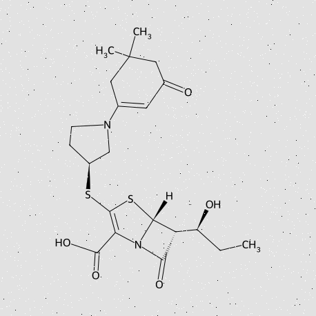 CC[C@H](O)[C@@H]1C(=O)N2C(C(=O)O)=C(S[C@H]3CCN(C4=CC(=O)CC(C)(C)C4)C3)S[C@H]12